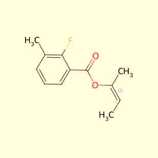 C/C=C(/C)OC(=O)c1cccc(C)c1F